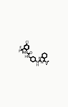 CN(C)c1nc(NC2CCC(NC(=O)Nc3ccc(Cl)cc3C(F)(F)F)CC2)nc2c1CCCC2